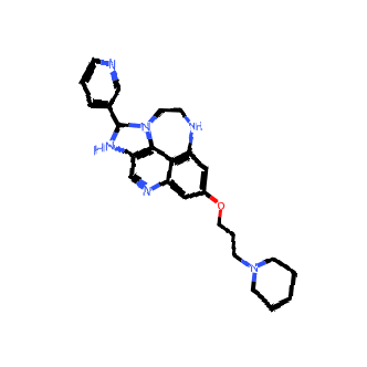 c1cncc(C2Nc3cnc4cc(OCCCN5CCCCC5)cc5c4c3N2CCN5)c1